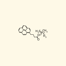 C[Si](C)(C)COC(=O)CCCc1ccc2ccc3cccc4ccc1c2c34